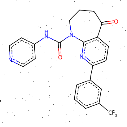 O=C1CCCN(C(=O)Nc2ccncc2)c2nc(-c3cccc(C(F)(F)F)c3)ccc21